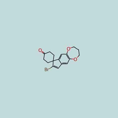 O=C1CCC2(CC1)C(Br)=Cc1cc3c(cc12)OCCCO3